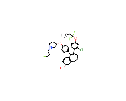 CCC(F)(F)Oc1ccc(C2=C(c3ccc(O[C@H]4CCN(CCCF)C4)cc3)c3ccc(O)cc3CCC2)c(Cl)c1